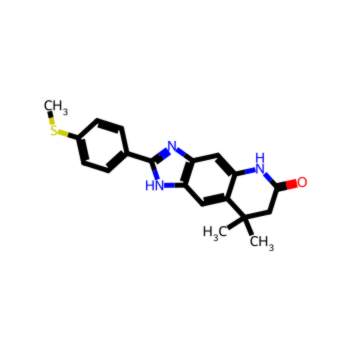 CSc1ccc(-c2nc3cc4c(cc3[nH]2)C(C)(C)CC(=O)N4)cc1